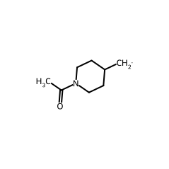 [CH2]C1CCN(C(C)=O)CC1